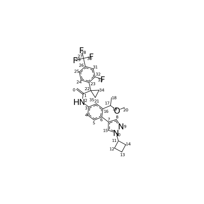 C=C(Nc1ccc(-c2cnn(C3CCC3)c2)c(C(C)OC)c1)C1(c2ccc(C(F)(F)F)cc2F)CC1